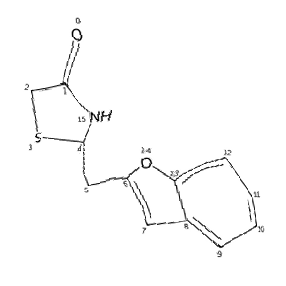 O=C1CSC(Cc2cc3ccccc3o2)N1